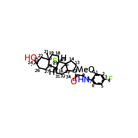 COc1cc(F)ccc1NCC(=O)[C@H]1CC[C@@]2(C)[C@@H]3CC[C@@]4(C)C[C@](C)(O)CC[C@]4(F)[C@H]3CC[C@]12C